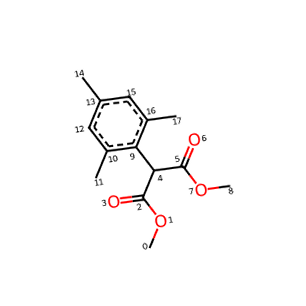 COC(=O)C(C(=O)OC)c1c(C)cc(C)cc1C